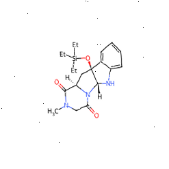 CC[Si](CC)(CC)O[C@]12C[C@@H]3C(=O)N(C)CC(=O)N3[C@H]1Nc1ccccc12